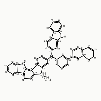 C[SiH]1c2cc(N(c3cccc(-c4ccc5c(c4)CCC=C5)c3)c3ccc4c(c3)oc3ccccc34)ccc2-c2c1ccc1c2oc2ccccc21